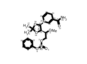 COC(CO[PH](=O)Oc1ccccc1)[C@H]1OC(C)(C)O[C@H]1N1C=CCC(C(N)=O)=C1